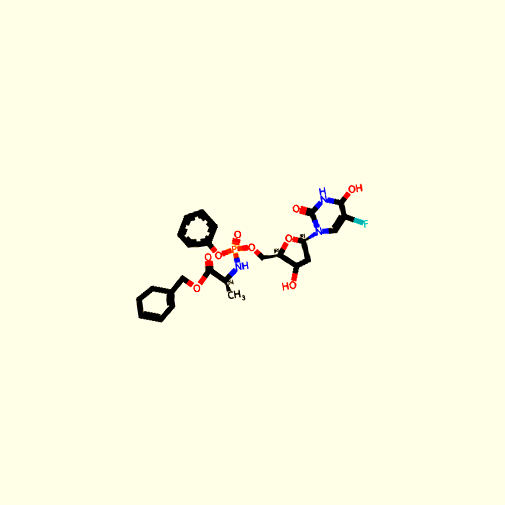 C[C@H](NP(=O)(OC[C@H]1O[C@@H](N2C=C(F)C(O)NC2=O)CC1O)Oc1ccccc1)C(=O)OCC1=CC=CCC1